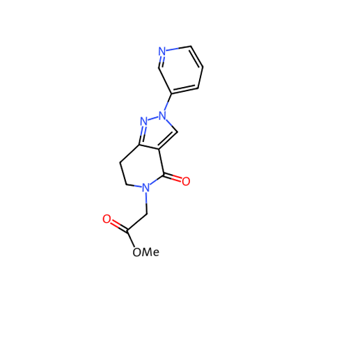 COC(=O)CN1CCc2nn(-c3cccnc3)cc2C1=O